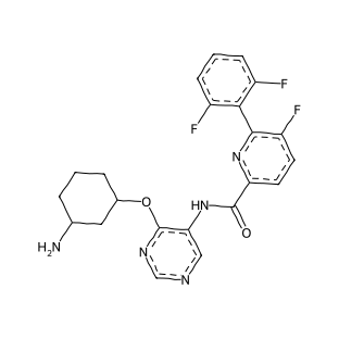 NC1CCCC(Oc2ncncc2NC(=O)c2ccc(F)c(-c3c(F)cccc3F)n2)C1